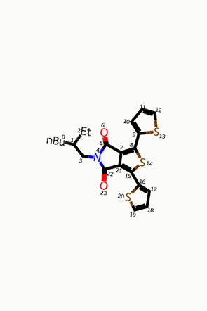 CCCCC(CC)CN1C(=O)c2c(-c3cccs3)sc(-c3cccs3)c2C1=O